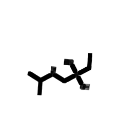 CC[Si](O)(O)CNC(C)C